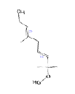 C/C(=C\CO)C/C=C/C(C)(C)OO